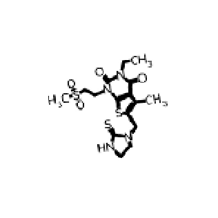 CCn1c(=O)c2c(C)c(CN3CCNC3=S)sc2n(CCS(C)(=O)=O)c1=O